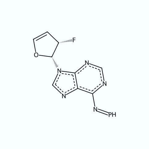 F[C@H]1C=CO[C@H]1n1cnc2c(N=P)ncnc21